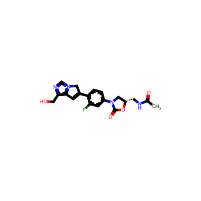 CC(=O)NC[C@H]1CN(c2ccc(C3=Cc4c(CO)ncn4C3)c(F)c2)C(=O)O1